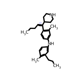 CCC/C=C(\c1ccc(Nc2ccc(C)c(CCC)c2)cc1C)C1CCNCC1